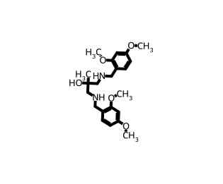 COc1ccc(CNCC(C)(O)CNCc2ccc(OC)cc2OC)c(OC)c1